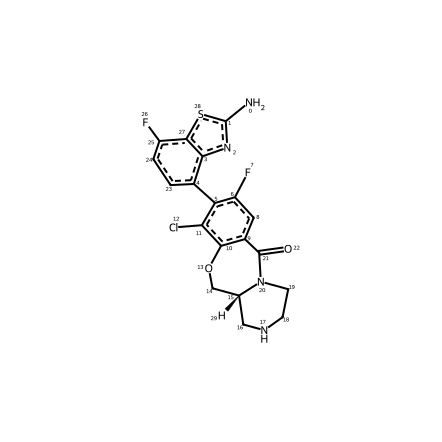 Nc1nc2c(-c3c(F)cc4c(c3Cl)OC[C@H]3CNCCN3C4=O)ccc(F)c2s1